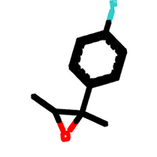 CC1OC1(C)c1ccc(F)cc1